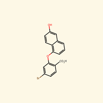 O=C(O)c1ccc(Br)cc1Oc1cccc2cc(O)ccc12